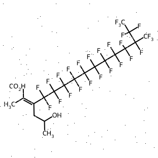 CC(C(=O)O)=C(CC(C)O)C(F)(F)C(F)(F)C(F)(F)C(F)(F)C(F)(F)C(F)(F)C(F)(F)C(F)(F)C(F)(F)C(F)(C(F)(F)F)C(F)(F)C(F)(F)F